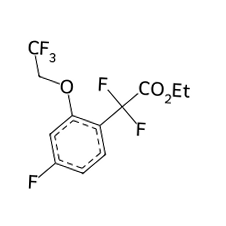 CCOC(=O)C(F)(F)c1ccc(F)cc1OCC(F)(F)F